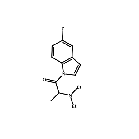 CCN(CC)C(C)C(=O)n1ccc2cc(F)ccc21